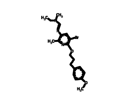 CCN(C)/C=N/c1cc(Br)c(OCCCc2ccc(OC)cc2)nc1C